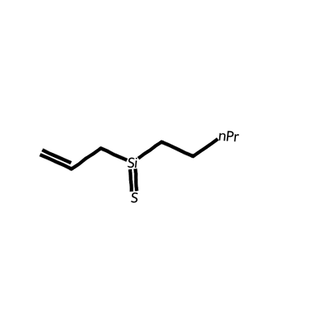 C=CC[Si](=S)CCCCC